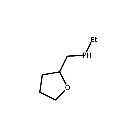 CCPCC1CCCO1